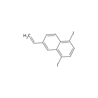 C=Cc1ccc2c(I)ccc(I)c2c1